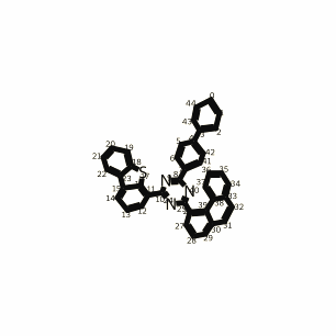 c1ccc(-c2ccc(-c3nc(-c4cccc5c4sc4ccccc45)nc(-c4cccc5ccc6ccccc6c45)n3)cc2)cc1